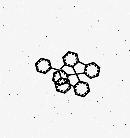 c1ccc(N(c2ccccc2)c2cccc3c2C2(c4ccccc4-c4ccccc42)c2ccccc2-3)cc1